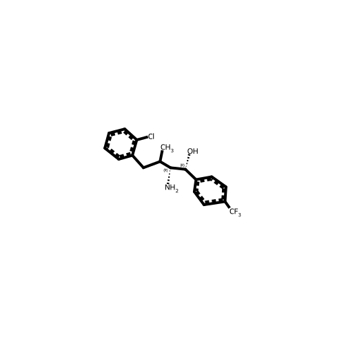 CC(Cc1ccccc1Cl)[C@@H](N)[C@H](O)c1ccc(C(F)(F)F)cc1